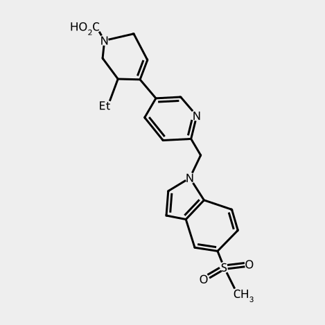 CCC1CN(C(=O)O)CC=C1c1ccc(Cn2ccc3cc(S(C)(=O)=O)ccc32)nc1